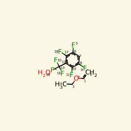 C=COCC.Fc1cc(F)c(F)c(C(F)(F)F)c1F.O